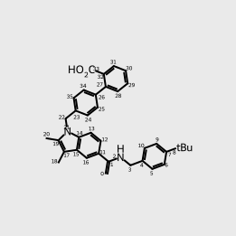 C=C(NCc1ccc(C(C)(C)C)cc1)c1ccc2c(c1)c(C)c(C)n2Cc1ccc(-c2ccccc2C(=O)O)cc1